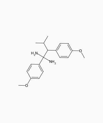 COc1ccc(C(C(C)C)C(N)(N)c2ccc(OC)cc2)cc1